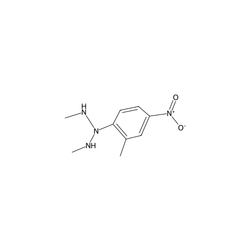 CNN(NC)c1ccc([N+](=O)[O-])cc1C